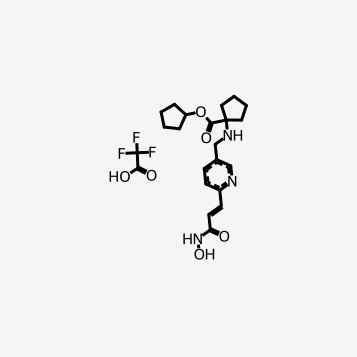 O=C(/C=C/c1ccc(CNC2(C(=O)OC3CCCC3)CCCC2)cn1)NO.O=C(O)C(F)(F)F